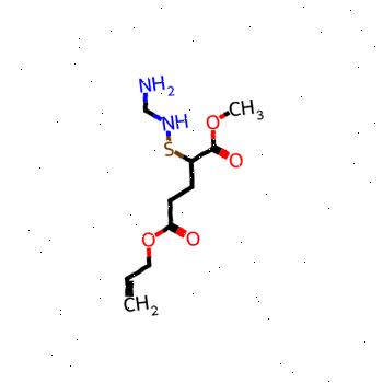 C=CCOC(=O)CCC(SNCN)C(=O)OC